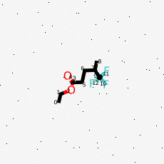 CCOC(=O)CCC(C)C(F)(F)F